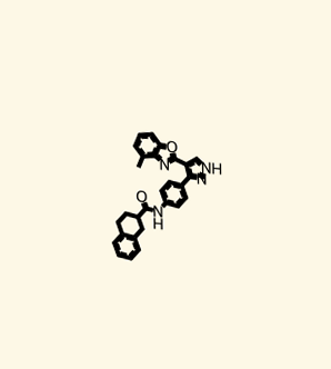 Cc1cccc2oc(-c3c[nH]nc3-c3ccc(NC(=O)C4CCc5ccccc5C4)cc3)nc12